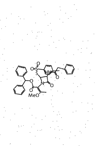 CO/C(C)=C(\C(=O)OC(c1ccccc1)c1ccccc1)N1C(=O)C(NC(=O)Cc2ccccc2)C1SS(=O)(=O)c1ccc(C)cc1